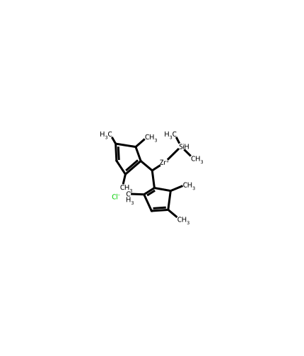 CC1=CC(C)=C([CH]([Zr+][SiH](C)C)C2=C(C)C=C(C)C2C)C1C.[Cl-]